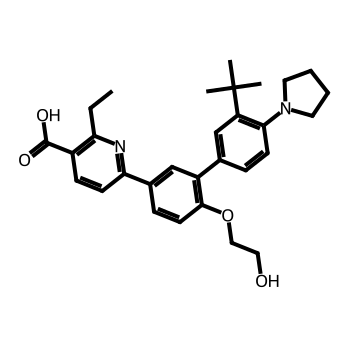 CCc1nc(-c2ccc(OCCO)c(-c3ccc(N4CCCC4)c(C(C)(C)C)c3)c2)ccc1C(=O)O